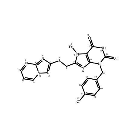 CCn1c(CSc2nc3ncccn3n2)nc2c1c(=O)[nH]c(=O)n2Cc1ccc(Cl)cc1